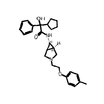 Cc1ccc(OCCN2CC3[C@H](C2)[C@H]3NC(=O)C(O)(c2ccccc2)C2CCCC2)cc1